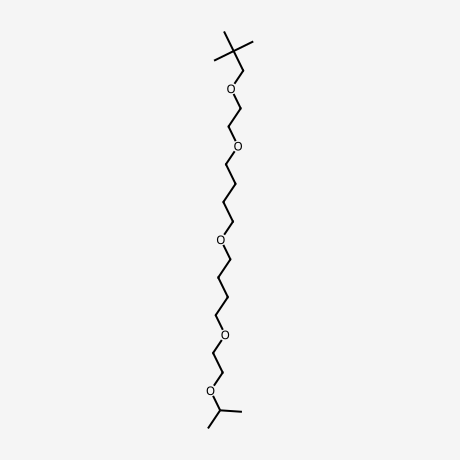 CC(C)OCCOCCCCOCCCCOCCOCC(C)(C)C